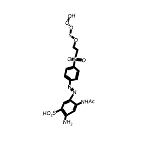 CC(=O)Nc1cc(N)c(S(=O)(=O)O)cc1/N=N/c1ccc(S(=O)(=O)CCOSOOO)cc1